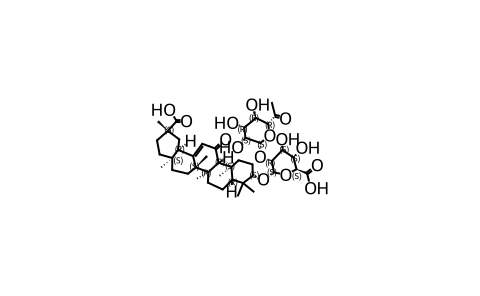 CC(=O)[C@@H]1O[C@H](O[C@H]2[C@@H](O[C@H]3CC[C@]4(C)[C@H]5C(=O)C=C6[C@@H]7C[C@@](C)(C(=O)O)CC[C@]7(C)CC[C@@]6(C)[C@]5(C)CC[C@H]4C3(C)C)O[C@H](C(=O)O)[C@@H](O)[C@@H]2O)[C@@H](O)[C@H](O)[C@H]1O